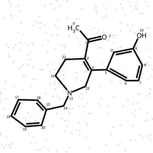 CC(=O)C1=C(c2cccc(O)c2)CN(Cc2ccccc2)CC1